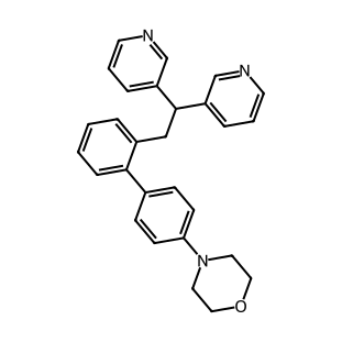 c1cncc(C(Cc2ccccc2-c2ccc(N3CCOCC3)cc2)c2cccnc2)c1